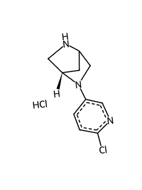 Cl.Clc1ccc(N2CC3C[C@H]2CN3)cn1